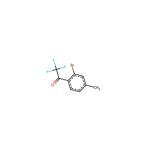 Cc1ccc(C(=O)C(F)(F)F)c(Br)c1